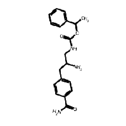 CC(OC(=O)NCC(N)Cc1ccc(C(N)=O)cc1)c1ccccc1